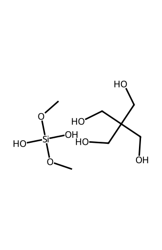 CO[Si](O)(O)OC.OCC(CO)(CO)CO